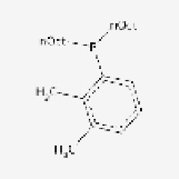 CCCCCCCCP(CCCCCCCC)c1cccc(C)c1C